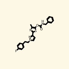 Cc1nc(-c2ccn(CCc3ccc(F)cc3)n2)sc1OC(=O)NCc1ccccc1